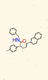 Cc1ccc([C@@H](C(=O)NCc2ccccc2)[C@@H](C)/C=C/c2ccc3ccccc3c2)cc1